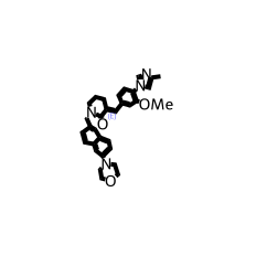 COc1cc(/C=C2\CCCN(Cc3ccc4cc(N5CCOCC5)ccc4c3)C2=O)ccc1-n1cnc(C)c1